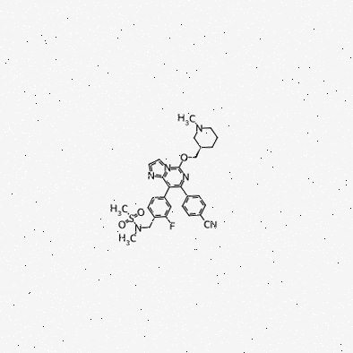 CN1CCC[C@@H](COc2nc(-c3ccc(C#N)cc3)c(-c3ccc(CN(C)S(C)(=O)=O)c(F)c3)c3nccn23)C1